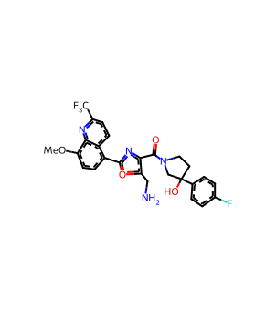 COc1ccc(-c2nc(C(=O)N3CCC(O)(c4ccc(F)cc4)C3)c(CN)o2)c2ccc(C(F)(F)F)nc12